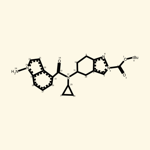 CC(C)(C)OC(=O)n1cc2c(n1)CCC(N(C(=O)c1cccc3c1ccn3N)C1CC1)C2